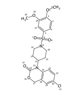 COc1ccc(S(=O)(=O)N2CCC(N3C(=O)OCc4cc(Cl)ccc43)CC2)cc1OC